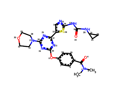 CN(C)C(=O)c1ccc(Oc2nc(-c3cnc(NC(=O)NC4CC4)s3)nc(N3CCOCC3)n2)cc1